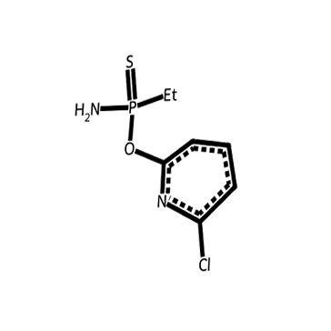 CCP(N)(=S)Oc1cccc(Cl)n1